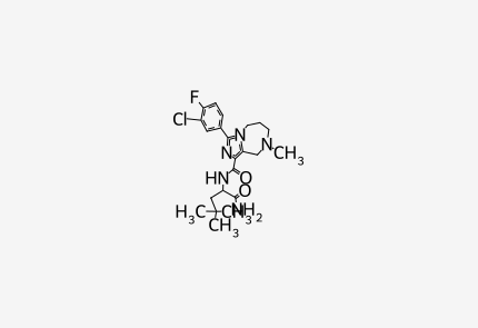 CN1CCCn2c(-c3ccc(F)c(Cl)c3)nc(C(=O)NC(CC(C)(C)C)C(N)=O)c2C1